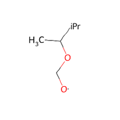 CC(C)C(C)OC[O]